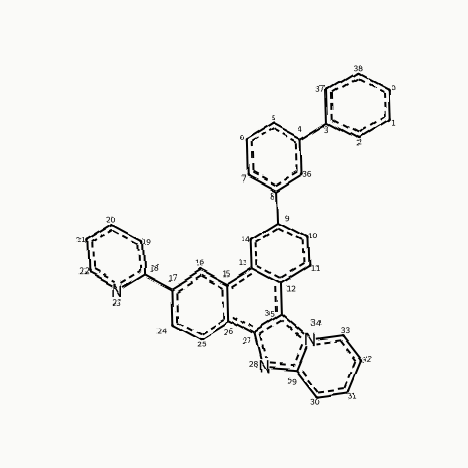 c1ccc(-c2cccc(-c3ccc4c(c3)c3cc(-c5ccccn5)ccc3c3nc5ccccn5c43)c2)cc1